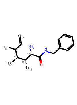 C=CC(C)[C@H](C)[C@@H](C)[C@H](N)C(=O)NCc1ccccc1